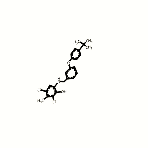 Cc1c(Cl)cc(NCc2cccc(Oc3ccc(C(C)(C)C)cc3)c2)c(O)c1Cl